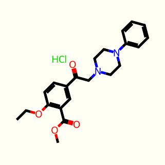 CCOc1ccc(C(=O)CN2CCN(c3ccccc3)CC2)cc1C(=O)OC.Cl